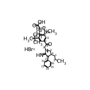 Br.CCCC1CN(CC(=O)c2cc(N(C)C)c(OCC(=O)O)c(C(C)(C)C)c2)C(=N)C1c1ccccc1